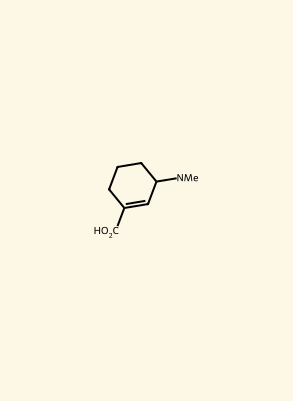 CNC1C=C(C(=O)O)CCC1